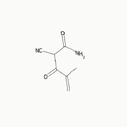 C=C(C)C(=O)C(C#N)C(N)=O